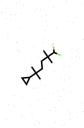 CC(C)(CCC(C)(C)C1CC1)C(F)F